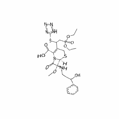 CCOP(=O)(CC(Sc1nnn[nH]1)C1=C(C(=O)O)N2C(=O)[C@@](NCC(O)c3ccccc3)(OC)[C@@H]2SC1)OCC